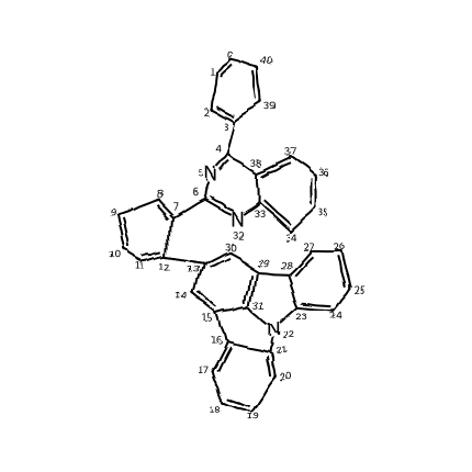 c1ccc(-c2nc(-c3ccccc3-c3cc4c5ccccc5n5c6ccccc6c(c3)c45)nc3ccccc23)cc1